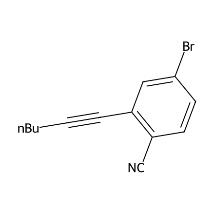 CCCCC#Cc1cc(Br)ccc1C#N